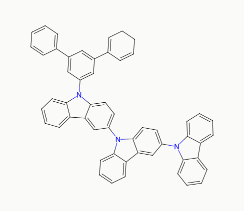 C1=CC(c2cc(-c3ccccc3)cc(-n3c4ccccc4c4cc(-n5c6ccccc6c6cc(-n7c8ccccc8c8ccccc87)ccc65)ccc43)c2)=CCC1